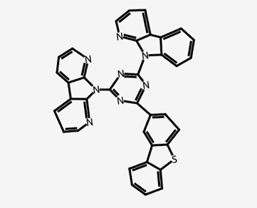 c1ccc2c(c1)sc1ccc(-c3nc(-n4c5ccccc5c5cccnc54)nc(-n4c5ncccc5c5cccnc54)n3)cc12